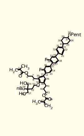 C=C(C)C(=O)OCCCc1cc(-c2ccc(-c3ccc(-c4ccc(C5CCC(CCCCC)CC5)cc4)cc3F)cc2F)cc(CCCOC(=O)C(=C)C)c1OCCC(CO)(CO)CCCC